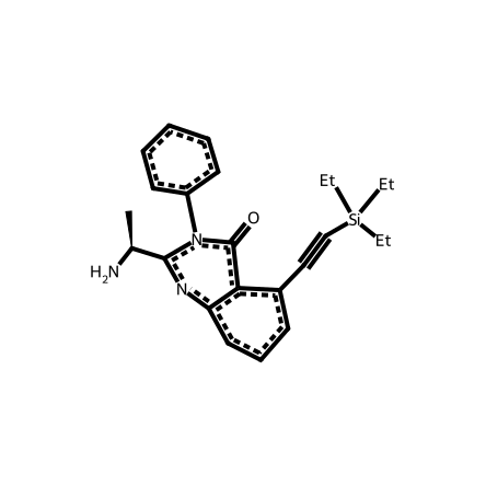 CC[Si](C#Cc1cccc2nc([C@H](C)N)n(-c3ccccc3)c(=O)c12)(CC)CC